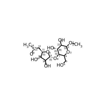 CO[C@H]1OC(CO)[C@@H](O[C@H]2O[C@H](C[S+](C)[O-])[C@@H](O)C2O)[C@H](O)C1O